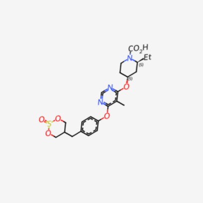 CC[C@H]1C[C@@H](Oc2ncnc(Oc3ccc(CC4COS(=O)OC4)cc3)c2C)CCN1C(=O)O